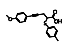 COc1ccc(C#CCC(Sc2ccc(C)cc2)C(=O)O)cc1